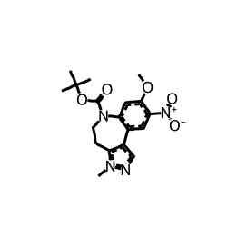 COc1cc2c(cc1[N+](=O)[O-])-c1cnn(C)c1CCN2C(=O)OC(C)(C)C